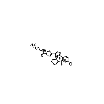 COCCNC(=O)c1ccc(-c2ccc(-c3ccc(Cl)cc3)n2-c2ccccc2C(F)(F)F)cc1